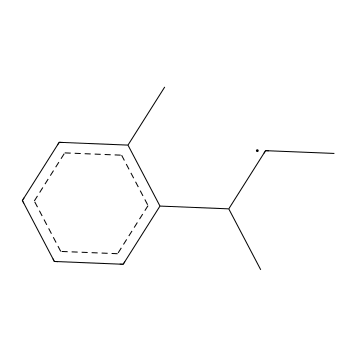 C[CH]C(C)c1ccccc1C